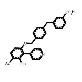 CC(=O)c1ccc(OCc2ccc(Cc3cccc(C(=O)O)c3)cc2)c(-c2ccncc2)c1O